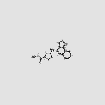 CC(C)(C)OC(=O)N1CC[C@H](Nc2nc3ccccc3c3[nH]ccc23)C1